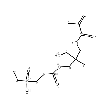 C=C(C)C(=O)OCC(C)(CO)COC(=O)CCP(=O)(O)CC